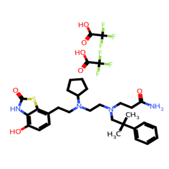 CC(C)(CN(CCC(N)=O)CCN(CCc1ccc(O)c2[nH]c(=O)sc12)C1CCCC1)c1ccccc1.O=C(O)C(F)(F)F.O=C(O)C(F)(F)F